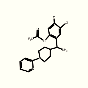 NC(c1cc(Cl)c(Cl)cc1OC(=O)C(F)(F)F)C1CCN(c2ccccn2)CC1